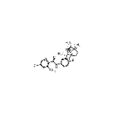 Cc1cc(Cl)cnc1C(=O)Nc1ccc(F)c([C@@]2(C)N=C(N)[C@]3(C)CC[C@H]2S3(=O)=O)c1